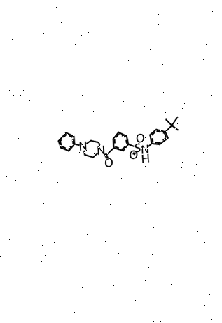 CC(C)(C)c1ccc(NS(=O)(=O)c2cccc(C(=O)N3CCN(c4ccccc4)CC3)c2)cc1